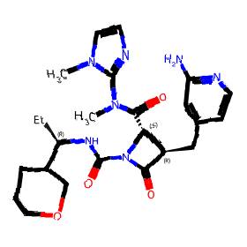 CC[C@@H](NC(=O)N1C(=O)[C@H](Cc2ccnc(N)c2)[C@H]1C(=O)N(C)c1nccn1C)C1CCCOC1